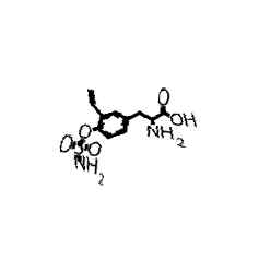 C=Cc1cc(CC(N)C(=O)O)ccc1OS(N)(=O)=O